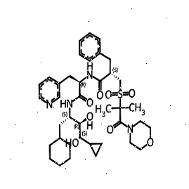 CC(C)(C(=O)N1CCOCC1)S(=O)(=O)C[C@@H](Cc1ccccc1)C(=O)N[C@H](Cc1cccnc1)C(=O)N[C@@H](CC1CCCCC1)[C@@H](O)[C@@H](O)C1CC1